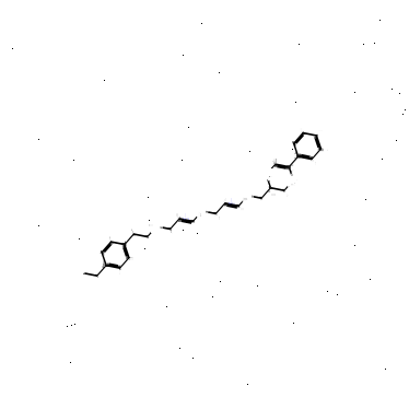 CCc1ccc(CCOC/C=C/OC/C=C/OCC2COC(c3ccccc3)=CO2)cc1